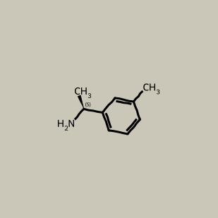 Cc1cccc([C@H](C)N)c1